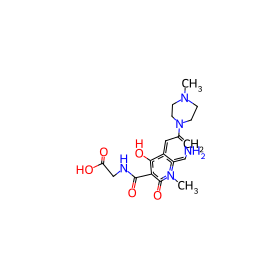 C=C(/C=c1/c(O)c(C(=O)NCC(=O)O)c(=O)n(C)/c1=C/N)N1CCN(C)CC1